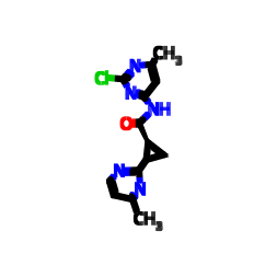 Cc1cc(NC(=O)[C@H]2CC2c2nccc(C)n2)nc(Cl)n1